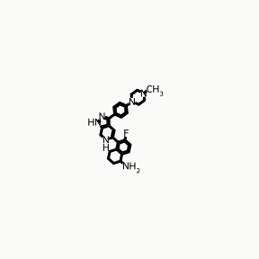 CN1CCN(c2ccc(-c3n[nH]c4c3C=C(c3c(F)ccc5c3CCCC5N)NC4)cc2)CC1